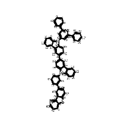 c1ccc(-c2cc(-n3c4ccccc4c4cc(-c5ccc6c(c5)c5ccccc5n6-c5cccc(-c6ccc7sc8cccnc8c7c6)c5)ccc43)cc(-c3ccccc3)n2)cc1